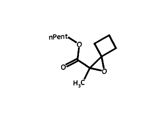 CCCCCOC(=O)C1(C)OC12CCC2